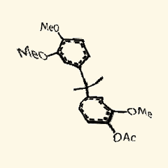 COc1ccc(C(C)(C)c2ccc(OC(C)=O)c(OC)c2)cc1OC